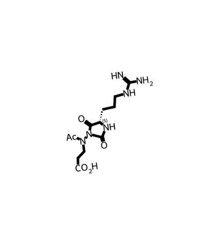 CC(=O)N(CCC(=O)O)N1C(=O)N[C@@H](CCCNC(=N)N)C1=O